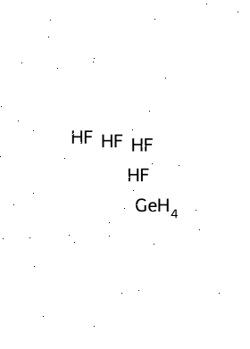 F.F.F.F.[GeH4]